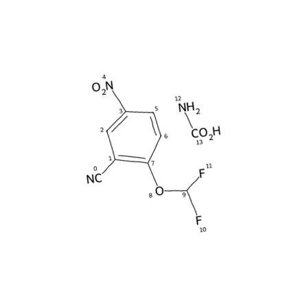 N#Cc1cc([N+](=O)[O-])ccc1OC(F)F.NC(=O)O